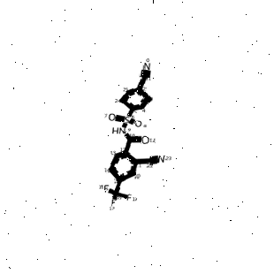 N#Cc1ccc(S(=O)(=O)NC(=O)c2ccc(C(F)(F)F)cc2C#N)cc1